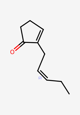 CC/C=C\CC1=CCCC1=O